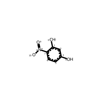 [CH]c1cc(O)ccc1[N+](=O)[O-]